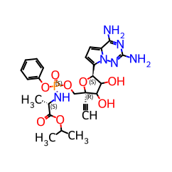 C#C[C@]1(CO[P@@](=O)(N[C@@H](C)C(=O)OC(C)C)Oc2ccccc2)O[C@@H](c2ccc3c(N)nc(N)nn23)C(O)C1O